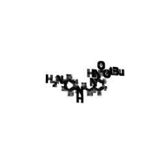 CC(C)(C)OC(=O)Nc1cccc(CCNc2ccc(N)cc2)n1